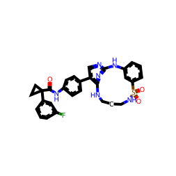 O=C(Nc1ccc(-c2cnc3nc2NCCCNS(=O)(=O)c2cccc(c2)N3)cc1)C1(c2cccc(F)c2)CC1